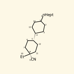 CCCCCCCC1CCC([C@H]2CC[C@](C#N)(CC)CC2)CC1